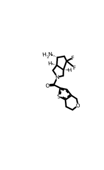 N[C@@H]1CC(F)(F)[C@H]2CN(C(=O)c3cc4c(s3)CCOC4)C[C@@H]12